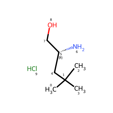 CC(C)(C)C[C@@H](N)CO.Cl